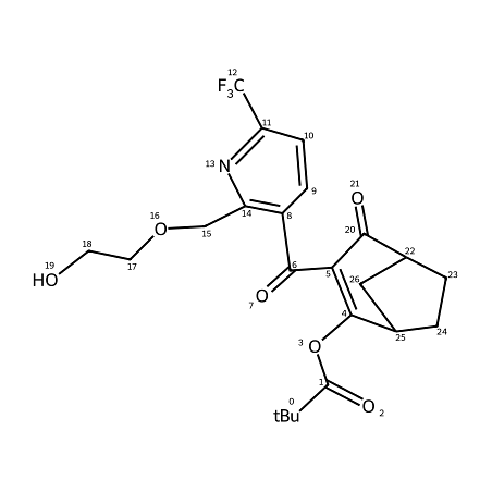 CC(C)(C)C(=O)OC1=C(C(=O)c2ccc(C(F)(F)F)nc2COCCO)C(=O)C2CCC1C2